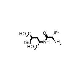 CC(C)[C@H](N)C(=O)N[C@@H](CC(C(=O)O)C(C)(C)C)C(=O)O